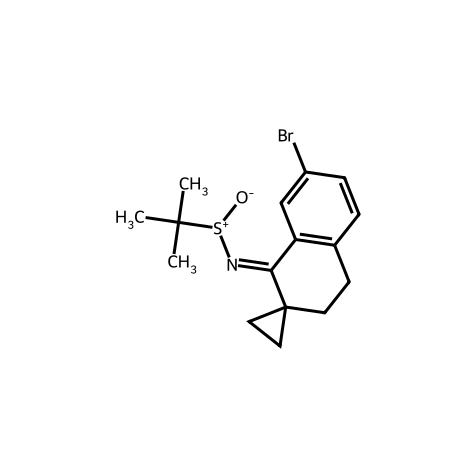 CC(C)(C)[S+]([O-])N=C1c2cc(Br)ccc2CCC12CC2